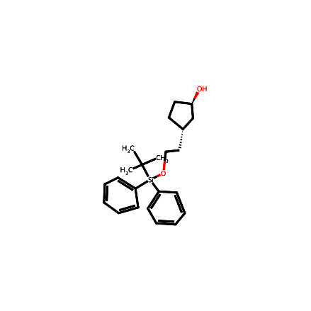 CC(C)(C)[Si](OCC[C@@H]1CC[C@@H](O)C1)(c1ccccc1)c1ccccc1